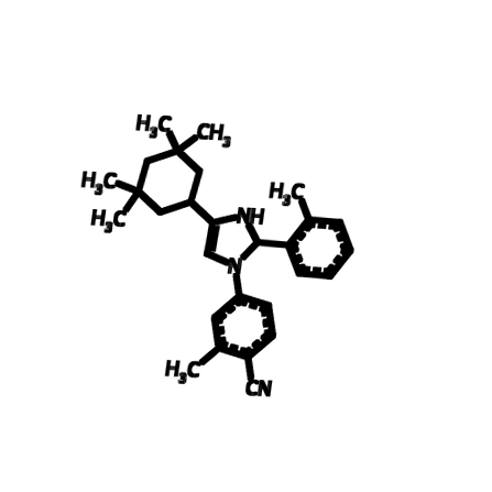 Cc1cc(N2C=C(C3CC(C)(C)CC(C)(C)C3)NC2c2ccccc2C)ccc1C#N